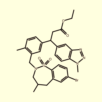 CCOC(=O)CC(c1ccc(C)c(CN2CC(C)Cc3cc(Br)ccc3S2(=O)=O)c1)c1ccc2c(c1)nnn2C